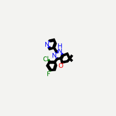 CC1(C)CC(=O)C2=C(C1)NC(c1cccnc1)=NC2c1ccc(F)cc1Cl